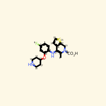 CC1=C(Nc2ccc(F)cc2OC2CCNCC2)c2ccsc2CN1C(=O)O